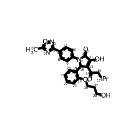 Cc1nc(-c2ccc(N3C(=O)C(O)=C(C(=O)CC(C)C)C3c3ccccc3OCCCO)cc2)no1